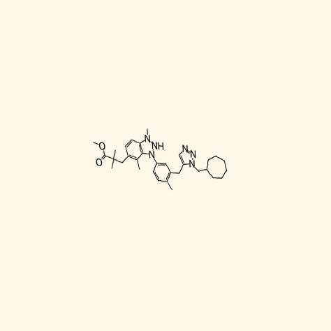 COC(=O)C(C)(C)Cc1ccc2c(c1C)N(c1ccc(C)c(Cc3cnnn3CC3CCCCCC3)c1)NN2C